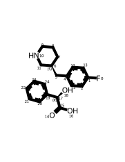 Fc1ccc(C[C@@H]2CCCNC2)cc1.O=C(O)[C@H](O)c1ccccc1